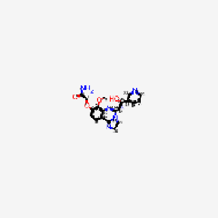 COc1c(OCC(N)=O)ccc2c1N=C(/C=C(\O)c1cccnc1)N1CCN=C21